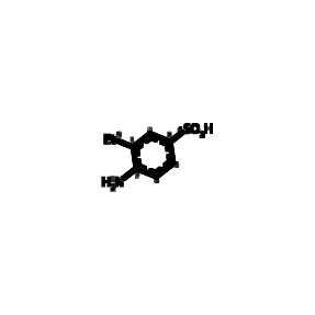 CCc1cc(S(=O)(=O)O)ccc1N